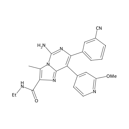 CCNC(=O)c1nc2c(-c3ccnc(OC)c3)c(-c3cccc(C#N)c3)nc(N)n2c1C